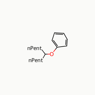 CCCCCC(CCCCC)Oc1ccccc1